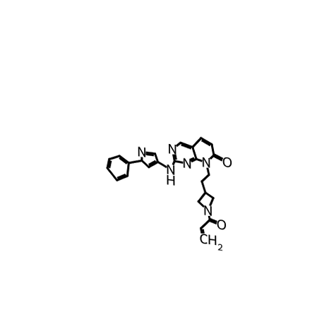 C=CC(=O)N1CC(CCn2c(=O)ccc3cnc(NC4=CC(c5ccccc5)N=C4)nc32)C1